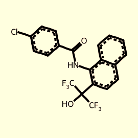 O=C(Nc1c(C(O)(C(F)(F)F)C(F)(F)F)ccc2ccccc12)c1ccc(Cl)cc1